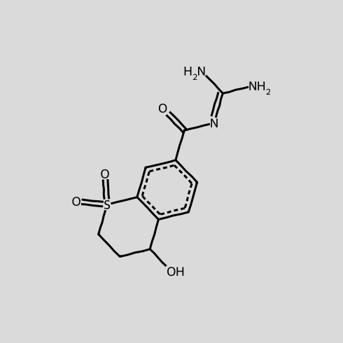 NC(N)=NC(=O)c1ccc2c(c1)S(=O)(=O)CCC2O